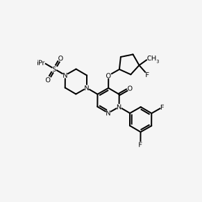 CC(C)S(=O)(=O)N1CCN(c2cnn(-c3cc(F)cc(F)c3)c(=O)c2OC2CCC(C)(F)C2)CC1